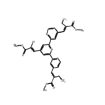 CC/C(=C\c1cc(-c2cc(/C=C(\CC(F)(F)F)C(=O)OC(C)(C)C)ccn2)nc(-c2cc(/C=C(\CC(F)(F)F)C(=O)OC(C)(C)C)ccn2)c1)C(=O)OC(C)(C)C